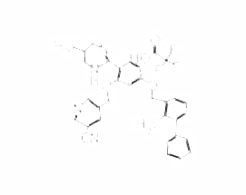 Cc1c(COc2ccc(C3=NCC(O)CN3)c(OCc3cncc(C#N)c3)c2)cccc1-c1ccccc1.O=C(O)C(F)(F)F